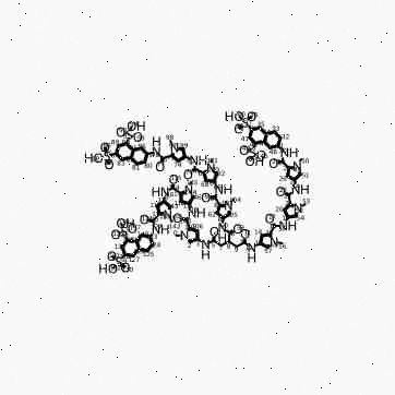 Cn1cc(NC(=O)CC(CC(=O)Nc2cc(C(=O)Nc3cc(C(=O)Nc4cc(C(=O)Nc5ccc6cc(S(=O)(=O)O)cc(S(=O)(=O)O)c6c5)n(C)c4)n(C)c3)n(C)c2)C(=O)Nc2cc(C(=O)Nc3cc(C(=O)Nc4cc(C(=O)Nc5ccc6cc(S(=O)(=O)O)cc(S(=O)(=O)O)c6c5)n(C)c4)n(C)c3)n(C)c2)cc1C(=O)Nc1cc(C(=O)Nc2cc(C(=O)Nc3ccc4cc(S(=O)(=O)O)cc(S(=O)(=O)O)c4c3)n(C)c2)n(C)c1